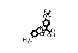 Cc1ccc(Cn2nc(C(=O)O)c3ccc(OC(F)(F)F)cc32)c(Cl)c1